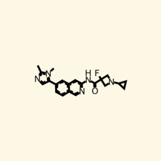 Cc1ncc(-c2ccc3cnc(NC(=O)C4(F)CN(C5CC5)C4)cc3c2)n1C